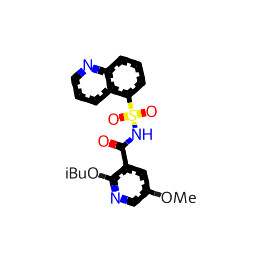 COc1cnc(OCC(C)C)c(C(=O)NS(=O)(=O)c2cccc3ncccc23)c1